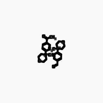 CC(=O)c1ccc([N+]2(C)CCOCC2)cc1.C[N+]1(c2ccc(C=O)cc2)CCOCC1